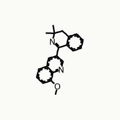 COc1cccc2cc(C3=NC(C)(C)Cc4ccccc43)cnc12